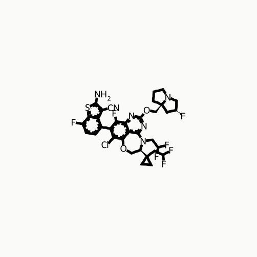 N#Cc1c(N)sc2c(F)ccc(-c3c(Cl)c4c5c(nc(OC[C@@]67CCCN6C[C@H](F)C7)nc5c3F)N(CC(F)F)[C@@H](C3(CC(F)F)CC3)CO4)c12